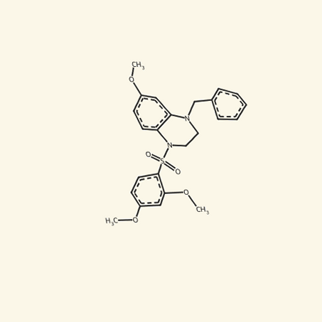 COc1ccc(S(=O)(=O)N2CCN(Cc3ccccc3)c3cc(OC)ccc32)c(OC)c1